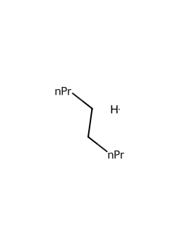 CCCCCCCC.[H]